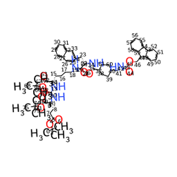 CC(C)(C)OC(=O)CC[C@@H](NC(=O)N[C@@H](CCCCNC(=O)[C@H](Cc1ccc2ccccc2c1)NC(=O)C1CCC(CNC(=O)OCC2c3ccccc3-c3ccccc32)CC1)C(=O)OC(C)(C)C)C(=O)OC(C)(C)C